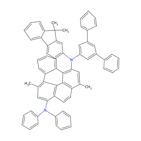 Cc1cc(N(c2cc(-c3ccccc3)cc(-c3ccccc3)c2)c2ccc3c(c2)C(C)(C)c2ccccc2-3)c2c3ccccc3c3c(C)cc(N(c4ccccc4)c4ccccc4)c4ccc1c2c43